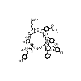 CNCCCCC[C@@H]1NC(=O)[C@@H](Cc2ccc(C(N)=O)cc2)NC(=O)[C@H](Cc2ccc(O)cc2)NC(=O)[C@H](NC(=O)[C@H](Cc2ccc(Cl)cc2)NC(=O)c2ccccn2)CSSC[C@@H](C(=O)N[C@H](Cc2ccc(O)cc2)C(C)=O)NC(=O)[C@H]([C@@H](C)O)NC1=O